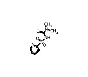 CN(C)C(=O)NS(=O)(=O)c1ccccn1